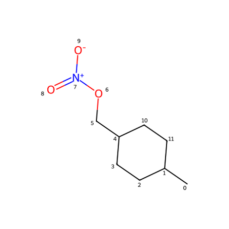 CC1CCC(CO[N+](=O)[O-])CC1